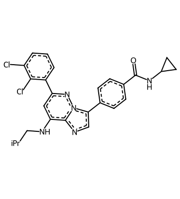 CC(C)CNc1cc(-c2cccc(Cl)c2Cl)nn2c(-c3ccc(C(=O)NC4CC4)cc3)cnc12